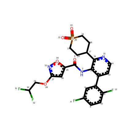 O=C(Nc1c(-c2cc(F)ccc2F)ccnc1C1CCS(=O)(=O)CC1)c1cc(OCC(F)F)no1